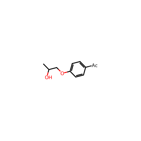 CC(=O)c1ccc(OCC(C)O)cc1